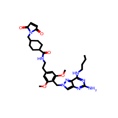 CCCCNc1nc(N)nc2cn(Cc3c(OC)cc(CCNC(=O)C4CCC(CN5C(=O)C=CC5=O)CC4)cc3OC)nc12